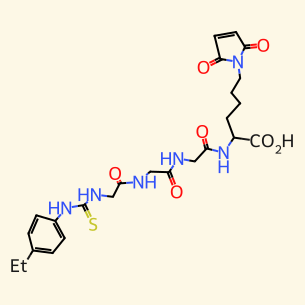 CCc1ccc(NC(=S)NCC(=O)NCC(=O)NCC(=O)NC(CCCCN2C(=O)C=CC2=O)C(=O)O)cc1